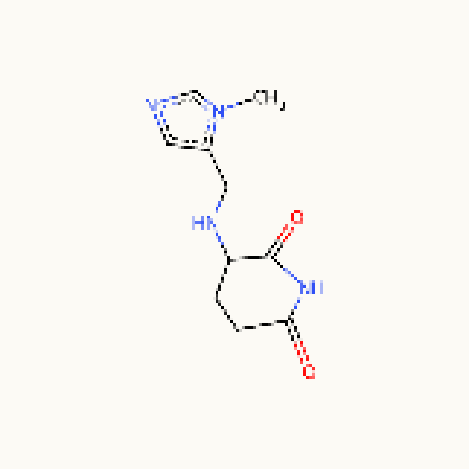 Cn1cncc1CNC1CCC(=O)NC1=O